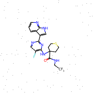 O=C(NCC(F)(F)F)C1(Nc2nc(-c3c[nH]c4ncccc34)ncc2F)CCSCC1